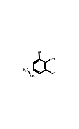 CC.CCCc1cccc(O)c1O